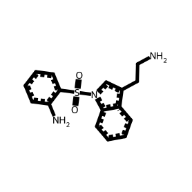 NCCc1cn(S(=O)(=O)c2ccccc2N)c2ccccc12